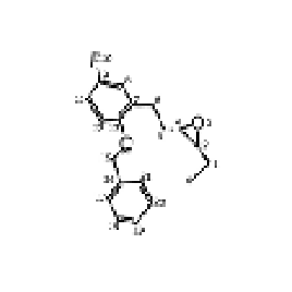 CC[C@@H]1O[C@H]1CCc1cc(F)ccc1OCc1ccccc1